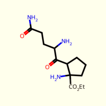 CCOC(=O)C1(N)CCCC1C(=O)C(N)CCC(N)=O